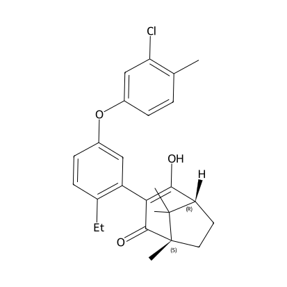 CCc1ccc(Oc2ccc(C)c(Cl)c2)cc1C1=C(O)[C@@H]2CC[C@](C)(C1=O)C2(C)C